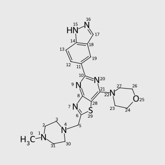 CN1CCN(Cc2nc3nc(-c4ccc5[nH]ncc5c4)nc(N4CCOCC4)c3s2)CC1